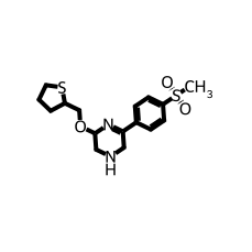 CS(=O)(=O)c1ccc(C2=NC(OCC3CCCS3)CNC2)cc1